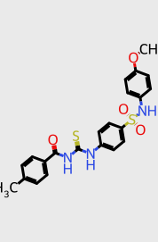 COc1ccc(NS(=O)(=O)c2ccc(NC(=S)NC(=O)c3ccc(C)cc3)cc2)cc1